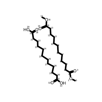 COC(=O)CCCCCCCCCCC(=O)OC.O=C(O)CCCCCCCCCCC(=O)O